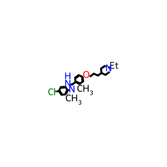 CCN1CCC(CCCOc2ccc(-c3nc4c(C)cc(Cl)cc4[nH]3)c(C)c2)CC1